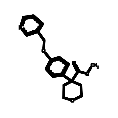 COC(=O)C1(c2ccc(OCc3cccnc3)cc2)CCOCC1